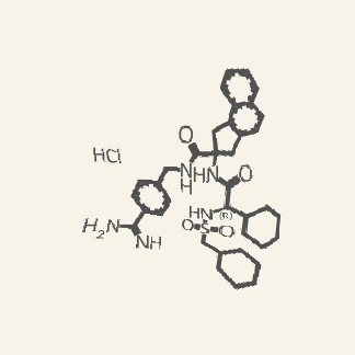 Cl.N=C(N)c1ccc(CNC(=O)C2(NC(=O)[C@H](NS(=O)(=O)CC3CCCCC3)C3CCCCC3)Cc3ccc4ccccc4c3C2)cc1